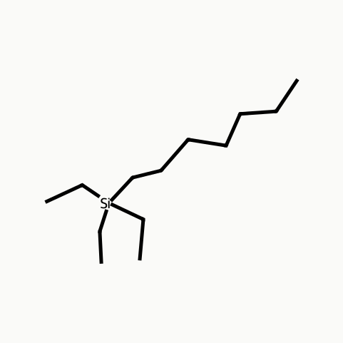 CCCCCCC[Si](CC)(CC)CC